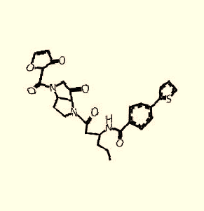 CCCC(CC(=O)N1CCC2C1C(=O)CN2C(=O)C1OC=CC1=O)NC(=O)c1ccc(-c2cccs2)cc1